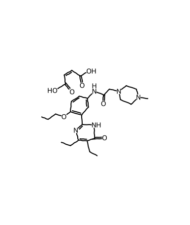 CCCOc1ccc(NC(=O)CN2CCN(C)CC2)cc1-c1nc(CC)c(CC)c(=O)[nH]1.O=C(O)/C=C\C(=O)O